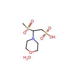 CS(=O)(=O)C(CS(=O)(=O)O)N1CCOCC1.O